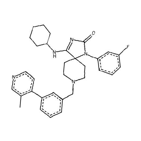 Cc1cnccc1-c1cccc(CN2CCC3(CC2)C(NC2CCCCC2)=NC(=O)N3c2cccc(F)c2)c1